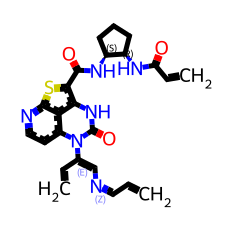 C=C/C=N\C=C(/C=C)N1C(=O)Nc2c(C(=O)N[C@H]3CCC[C@H]3NC(=O)C=C)sc3nccc1c23